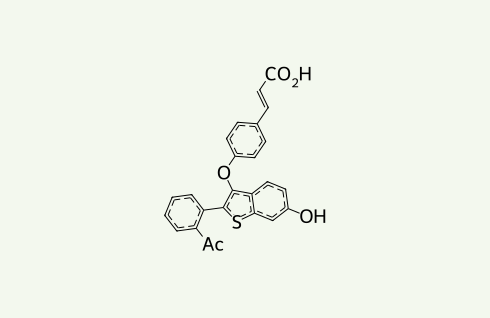 CC(=O)c1ccccc1-c1sc2cc(O)ccc2c1Oc1ccc(/C=C/C(=O)O)cc1